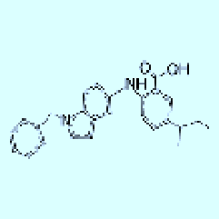 CCC(C)c1ccc(Nc2ccc3c(ccn3Cc3ccccc3)c2)c(C(=O)O)c1